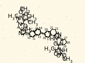 CCCN(Cc1ncc(-c2ccc3cc(-c4ccc5c(c4)CCc4nc([C@@H]6CCCN6C(=O)[C@@H](NC(=O)OC)C(C)C)[nH]c4-5)ccc3c2)[nH]1)C(=O)[C@@H](NC(=O)OC)C(C)C